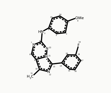 COc1ccc(Nc2ncc3c(C)nc(-c4cccc(F)c4)n3n2)cc1